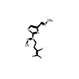 CO/N=C/c1csc(/S(CCC(F)=C(F)F)=N/C#N)n1